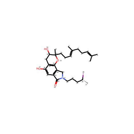 CC(C)=CCC/C(C)=C/CCC1(C)Oc2c(c(O)cc3c2CN(CCC[C@@H](C)I)C3=O)CC1O